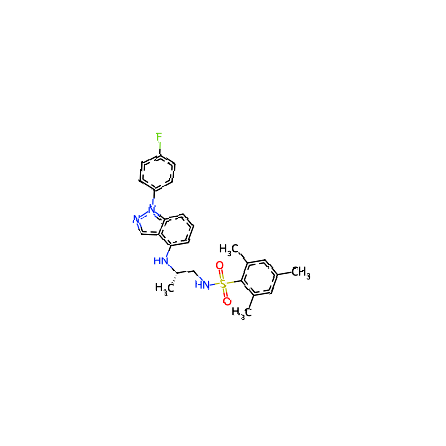 Cc1cc(C)c(S(=O)(=O)NC[C@H](C)Nc2cccc3c2cnn3-c2ccc(F)cc2)c(C)c1